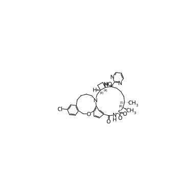 C[C@@H]1[C@@H](C)CCC[C@@](O)(c2ncccn2)[C@@H]2CC[C@H]2CN2CCCCc3cc(Cl)ccc3COc3ccc(cc32)C(=O)NS1(=O)=O